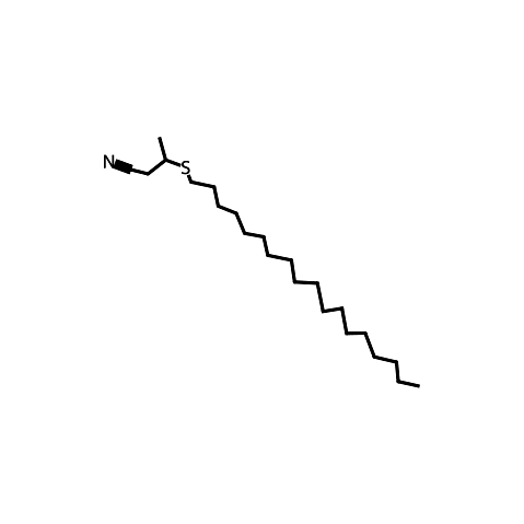 CCCCCCCCCCCCCCCCCCSC(C)CC#N